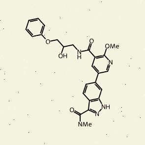 CNC(=O)c1n[nH]c2cc(-c3cnc(OC)c(C(=O)NCC(O)COc4ccccc4)c3)ccc12